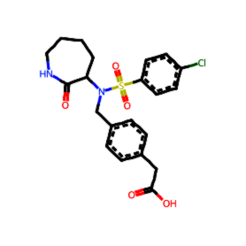 O=C(O)Cc1ccc(CN(C2CCCCNC2=O)S(=O)(=O)c2ccc(Cl)cc2)cc1